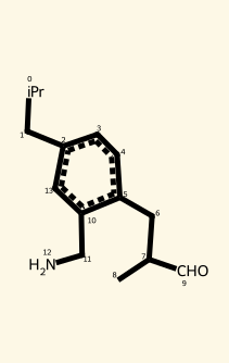 CC(C)Cc1ccc(CC(C)C=O)c(CN)c1